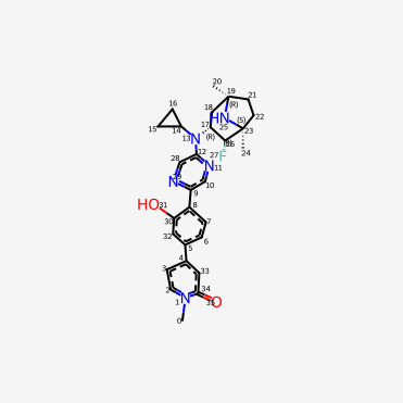 Cn1ccc(-c2ccc(-c3cnc(N(C4CC4)[C@@H]4C[C@@]5(C)CC[C@](C)(N5)[C@@H]4F)cn3)c(O)c2)cc1=O